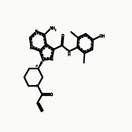 C=CC(=O)N1CCC[C@@H](n2nc(C(=O)Nc3c(C)cc(O)cc3C)c3c(N)ncnc32)C1